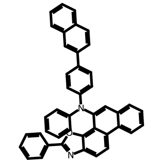 c1ccc(-c2nc3ccc4c5ccccc5cc(N(c5ccccc5)c5ccc(-c6ccc7ccccc7c6)cc5)c4c3o2)cc1